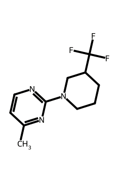 Cc1ccnc(N2CCCC(C(F)(F)F)C2)n1